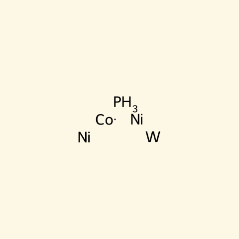 P.[Co].[Ni].[Ni].[W]